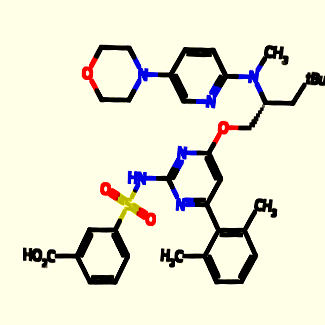 Cc1cccc(C)c1-c1cc(OC[C@@H](CC(C)(C)C)N(C)c2ccc(N3CCOCC3)cn2)nc(NS(=O)(=O)c2cccc(C(=O)O)c2)n1